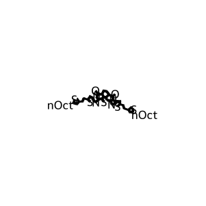 CCCCCCCCc1cc(/C=C/c2cc3c(nc4c5sc6c7c(ccc(c(=O)n34)c57)c(=O)n3c4cc(/C=C/c5csc(CCCCCCCC)c5)sc4nc63)s2)cs1